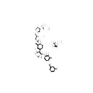 CN(C)[C@H]1CCN(C[C@@H](O)Cn2cc3c(n2)CCc2c-3sc3ncnc(Nc4ccc(OCc5cccc(F)c5)c(Cl)c4)c23)C1.O=C(O)C(F)(F)F